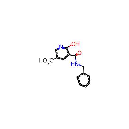 O=C(O)c1cnc(O)c(C(=O)NCc2ccccc2)c1